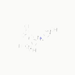 CCOC(=O)c1cc2c(N(C)C)ccc(/N=N/c3cc[n+](C)cc3)c2s1